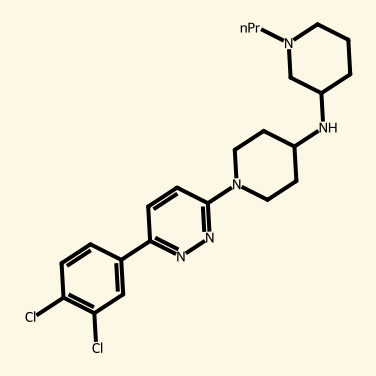 CCCN1CCCC(NC2CCN(c3ccc(-c4ccc(Cl)c(Cl)c4)nn3)CC2)C1